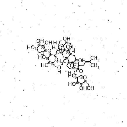 CC(C)=CCC[C@](C)(O[C@@H]1O[C@H](CO)[C@@H](O)[C@H](O)[C@H]1O)[C@H]1CC[C@]2(C)[C@@H]1[C@H](O)C[C@@H]1[C@@]3(C)CC[C@H](O)C(C)(C)[C@@H]3[C@@H](O[C@@H]3O[C@H](CO)[C@@H](O)[C@H](O)[C@H]3O[C@@H]3OC[C@@H](O)[C@H](O)[C@H]3O)C[C@]12C